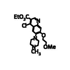 CCOC(=O)c1cnc2cc(OCCOC)c(N3CCN(C)CC3)cc2c1Cl